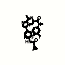 Cc1nc(C(=O)N(C)c2ccc(F)c(F)c2)cn2c(-c3ccc(NC(=O)C4CC4)nc3)cnc12